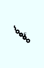 CCCCC1CCC(c2ccc(-c3ccc(C4CCCCC4)cc3F)cc2)CC1